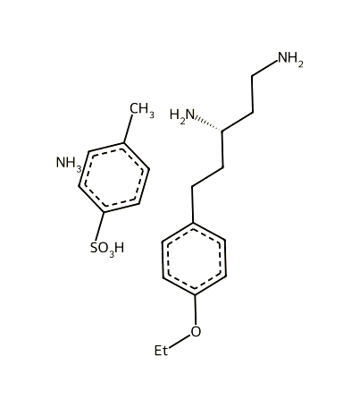 CCOc1ccc(CC[C@H](N)CCN)cc1.Cc1ccc(S(=O)(=O)O)cc1.N